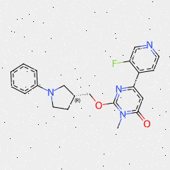 Cn1c(OC[C@@H]2CCN(c3ccccc3)C2)nc(-c2ccncc2F)cc1=O